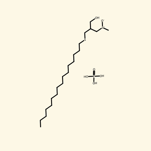 CCCCCCCCCCCCCCCCSCC(CO)C[S+](C)[O-].O=P(O)(O)O